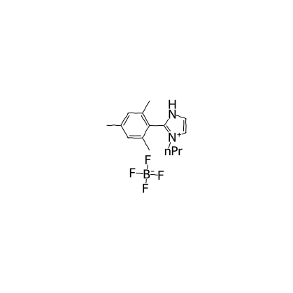 CCC[n+]1cc[nH]c1-c1c(C)cc(C)cc1C.F[B-](F)(F)F